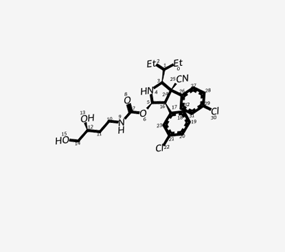 CCC(CC)[C@@H]1N[C@H](OC(=O)NCC[C@H](O)CO)[C@H](c2cccc(Cl)c2)[C@@]1(C#N)c1ccc(Cl)cc1